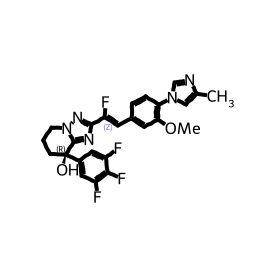 COc1cc(/C=C(\F)c2nc3n(n2)CCC[C@@]3(O)c2cc(F)c(F)c(F)c2)ccc1-n1cnc(C)c1